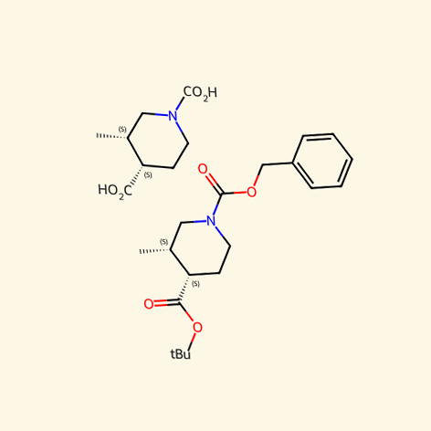 C[C@@H]1CN(C(=O)O)CC[C@@H]1C(=O)O.C[C@@H]1CN(C(=O)OCc2ccccc2)CC[C@@H]1C(=O)OC(C)(C)C